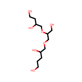 OCCCC(O)COCC(CO)OCC(O)CCO